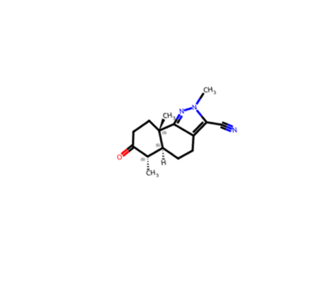 C[C@@H]1C(=O)CC[C@]2(C)c3nn(C)c(C#N)c3CC[C@@H]12